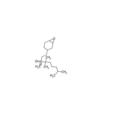 CC(C)CCCC(C)(C)[SH](C)(=O)CCC1CCC2OC2C1